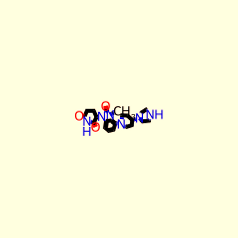 Cn1c(=O)n(C2CCC(=O)NC2=O)c2cccc(N3CCC(N4CCNCC4)CC3)c21